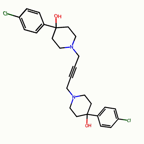 OC1(c2ccc(Cl)cc2)CCN(CC#CCN2CCC(O)(c3ccc(Cl)cc3)CC2)CC1